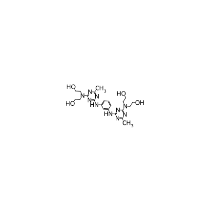 Cc1nc(Nc2cccc(Nc3nc(C)nc(N(CCO)CCO)n3)c2)nc(N(CCO)CCO)n1